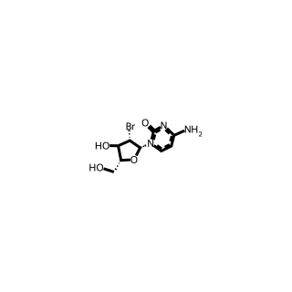 Nc1ccn([C@@H]2O[C@H](CO)C(O)[C@@H]2Br)c(=O)n1